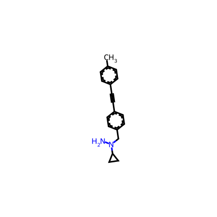 Cc1ccc(C#Cc2ccc(CN(N)C3CC3)cc2)cc1